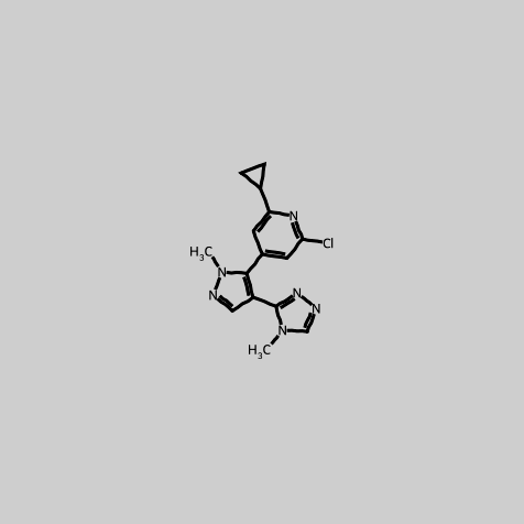 Cn1cnnc1-c1cnn(C)c1-c1cc(Cl)nc(C2CC2)c1